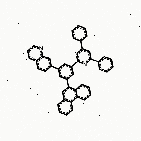 c1ccc(-c2cc(-c3ccccc3)nc(-c3cc(-c4ccc5cccnc5c4)cc(-c4cc5ccccc5c5ccccc45)c3)n2)cc1